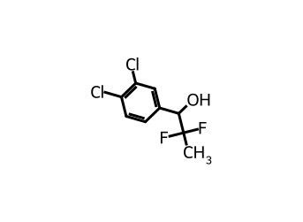 CC(F)(F)C(O)c1ccc(Cl)c(Cl)c1